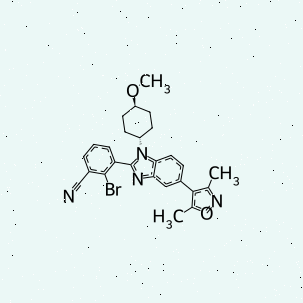 CO[C@H]1CC[C@H](n2c(-c3cccc(C#N)c3Br)nc3cc(-c4c(C)noc4C)ccc32)CC1